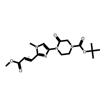 COC(=O)/C=C/c1nc(N2CCN(C(=O)OC(C)(C)C)CC2=O)cn1C